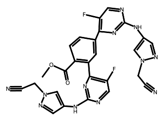 COC(=O)c1ccc(-c2nc(Nc3cnn(CC#N)c3)ncc2F)cc1-c1nc(Nc2cnn(CC#N)c2)ncc1F